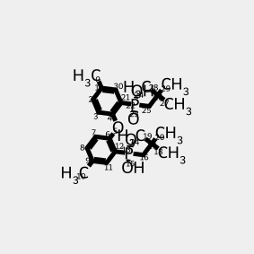 Cc1ccc(Oc2ccc(C)cc2P(=O)(O)CC(C)(C)C)c(P(=O)(O)CC(C)(C)C)c1